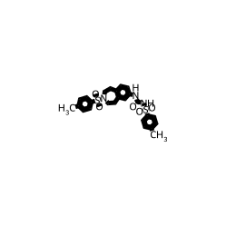 Cc1ccc(S(=O)(=O)NC(=O)Nc2ccc3c(c2)CCN(S(=O)(=O)c2ccc(C)cc2)CC3)cc1